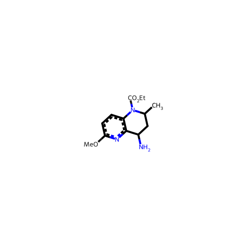 CCOC(=O)N1c2ccc(OC)nc2C(N)CC1C